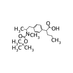 CCCC(C(=O)O)c1ccc(CC(C)N(C)C(=O)OC(C)(C)C)cc1